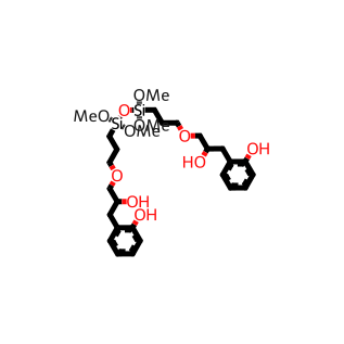 CO[Si](CCCOCC(O)Cc1ccccc1O)(OC)O[Si](CCCOCC(O)Cc1ccccc1O)(OC)OC